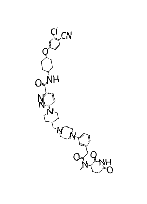 CN(C(=O)Cc1cccc(N2CCN(CC3CCN(c4ccc(C(=O)N[C@H]5CC[C@H](Oc6ccc(C#N)c(Cl)c6)CC5)nn4)CC3)CC2)c1)C1CCC(=O)NC1=O